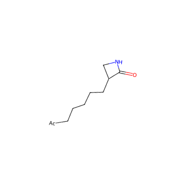 CC(=O)CCCCCC1CNC1=O